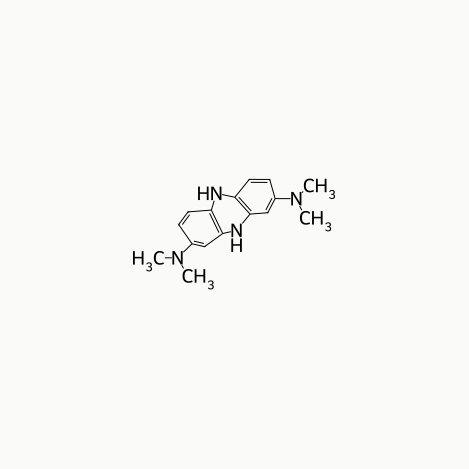 CN(C)c1ccc2c(c1)Nc1cc(N(C)C)ccc1N2